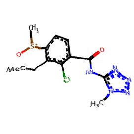 COCc1c([S+](C)[O-])ccc(C(=O)Nc2nnnn2C)c1Cl